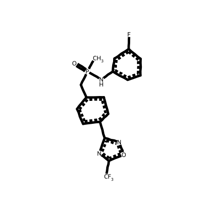 CP(=O)(Cc1ccc(-c2noc(C(F)(F)F)n2)cc1)Nc1cccc(F)c1